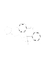 FC(F)(F)C1(OCCN2CCCC2)c2cc(Cl)ccc2Nc2ncncc21